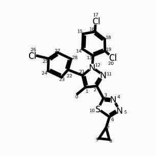 Cc1c(-c2nnc(C3CC3)s2)nn(-c2ccc(Cl)cc2Cl)c1-c1ccc(Cl)cc1